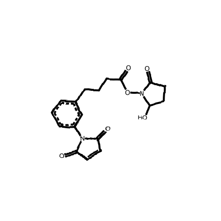 O=C(CCCc1cccc(N2C(=O)C=CC2=O)c1)ON1C(=O)CCC1O